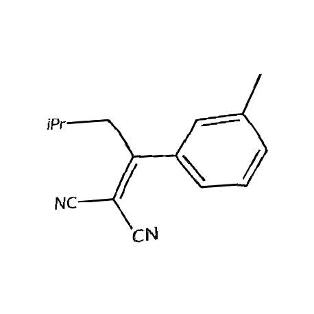 Cc1cccc(C(CC(C)C)=C(C#N)C#N)c1